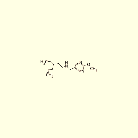 C=CCC(CC)CCNCc1cnc(OC)nc1